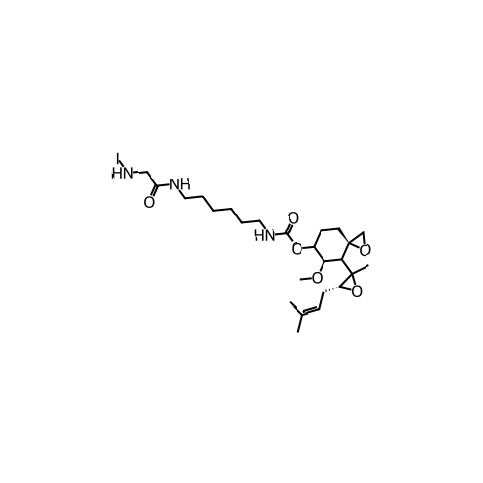 COC1C(OC(=O)NCCCCCCNC(=O)CNI)CC[C@]2(CO2)C1C1(C)O[C@@H]1CC=C(C)C